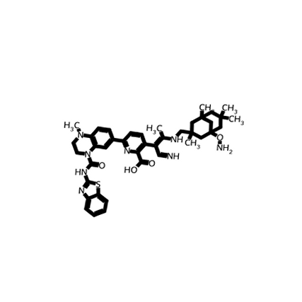 C/C(NCC1(C)CC2(C)CC(C)(C)CC(ON)(C1)C2)=C(/C=N)c1ccc(-c2ccc3c(c2)N(C(=O)Nc2nc4ccccc4s2)CCN3C)nc1C(=O)O